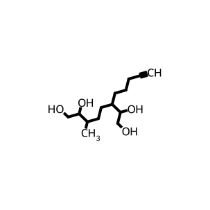 C#CCCCC(CCC(C)C(O)CO)C(O)CO